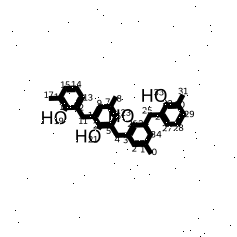 CC1=CC(Cc2cc(C)cc(Cc3cccc(C)c3O)c2O)=C(O)C(Cc2cccc(C)c2O)C1